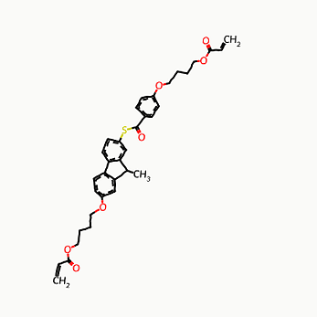 C=CC(=O)OCCCCOc1ccc(C(=O)Sc2ccc3c(c2)C(C)c2cc(OCCCCOC(=O)C=C)ccc2-3)cc1